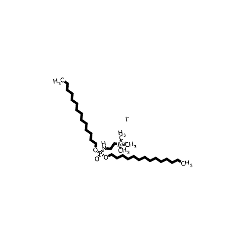 CCCCCCCCCCCCCCOP(=O)(NCC[As+](C)(C)C)OCCCCCCCCCCCCCC.[I-]